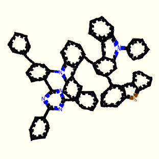 c1ccc(-c2ccc(-c3nc(-c4ccccc4)nc(-c4ccccc4)n3)c(-n3c4ccccc4c4c(-c5cc(-c6cccc7sc8ccccc8c67)cc6c5c5ccccc5n6-c5ccccc5)cccc43)c2)cc1